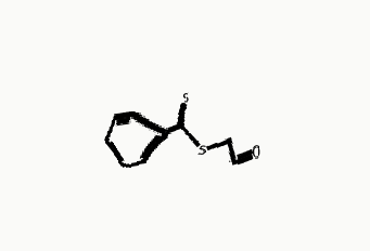 O=[C]CSC(=S)c1ccccc1